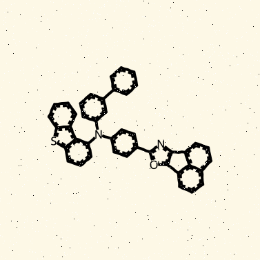 c1ccc(-c2cccc(N(c3ccc(-c4nc5c(o4)-c4cccc6cccc-5c46)cc3)c3cccc4sc5ccccc5c34)c2)cc1